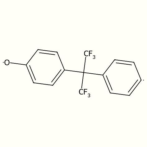 [O]c1ccc(C(c2cc[c]cc2)(C(F)(F)F)C(F)(F)F)cc1